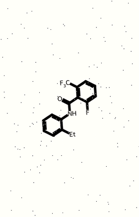 CCc1ccccc1NC(=O)c1c(F)cccc1C(F)(F)F